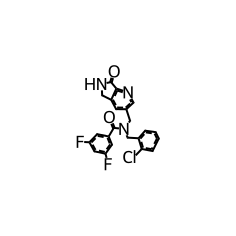 O=C1NCc2cc(CN(Cc3ccccc3Cl)C(=O)c3cc(F)cc(F)c3)cnc21